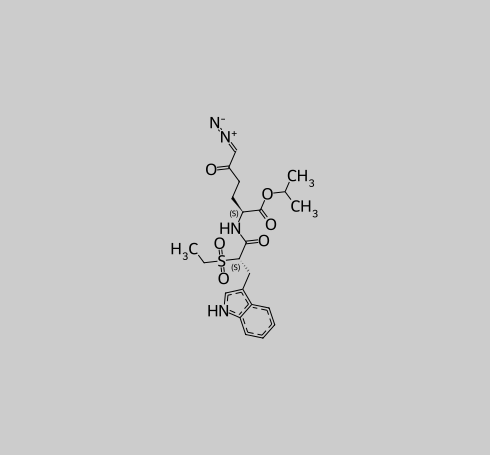 CCS(=O)(=O)[C@@H](Cc1c[nH]c2ccccc12)C(=O)N[C@@H](CCC(=O)C=[N+]=[N-])C(=O)OC(C)C